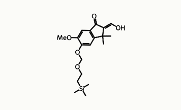 COc1cc2c(cc1OCOCC[Si](C)(C)C)C(C)(C)C(=CO)C2=O